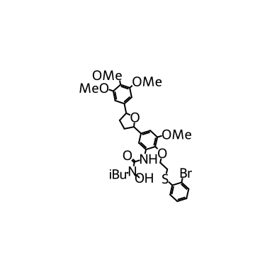 CCC(C)N(O)C(=O)Nc1cc(C2CCC(c3cc(OC)c(OC)c(OC)c3)O2)cc(OC)c1OCCSc1ccccc1Br